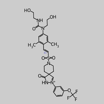 Cc1cc(N(CCO)C(=O)NCCO)cc(C)c1/C=C/S(=O)(=O)N1CCC2(C=[N+](c3cccc(OC(F)(F)F)c3)NC2=O)CC1